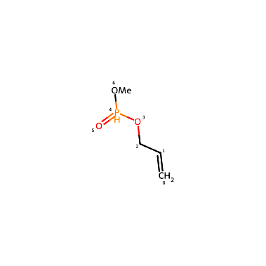 C=CCO[PH](=O)OC